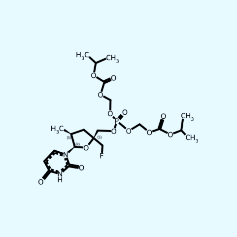 CC(C)OC(=O)OCOP(=O)(OCOC(=O)OC(C)C)OC[C@]1(CF)C[C@H](C)[C@H](n2ccc(=O)[nH]c2=O)O1